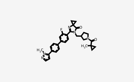 Cn1nccc1-c1ccc(-c2ccc(C3=NC4(CC4)C(=O)N3CC3CCN(C(=O)C4(C)CC4)C3)c(F)c2)cc1